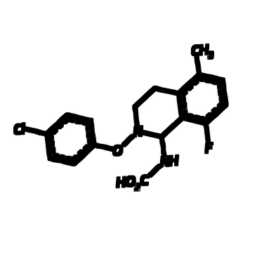 Cc1ccc(F)c2c1CCN(Oc1ccc(Cl)cc1)C2NC(=O)O